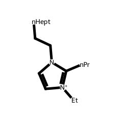 CCCCCCCCCn1cc[n+](CC)c1CCC